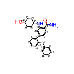 NC(=O)c1ccc(-c2ccccc2Cc2ccccc2)cc1N[C@H]1CC[C@H](O)CC1